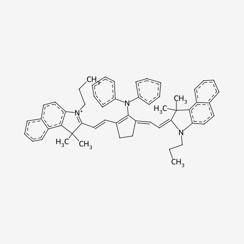 CCCN1/C(=C/C=C2\CCC(/C=C/C3=[N+](CCC)c4ccc5ccccc5c4C3(C)C)=C2N(c2ccccc2)c2ccccc2)C(C)(C)c2c1ccc1ccccc21